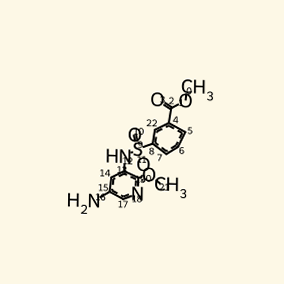 COC(=O)c1cccc(S(=O)(=O)Nc2cc(N)cnc2OC)c1